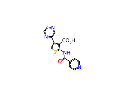 O=C(Nc1scc(-c2cnccn2)c1C(=O)O)c1ccncc1